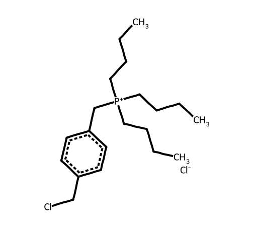 CCCC[P+](CCCC)(CCCC)Cc1ccc(CCl)cc1.[Cl-]